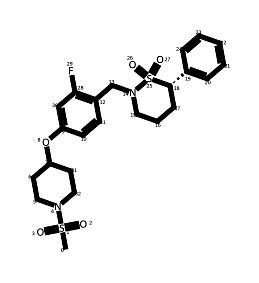 CS(=O)(=O)N1CCC(Oc2ccc(CN3CCC[C@@H](c4ccccc4)S3(=O)=O)c(F)c2)CC1